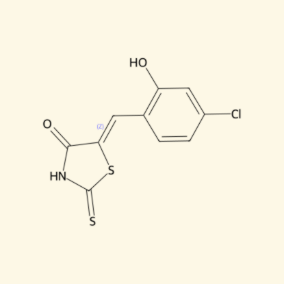 O=C1NC(=S)S/C1=C\c1ccc(Cl)cc1O